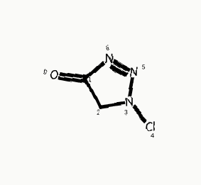 O=C1CN(Cl)N=N1